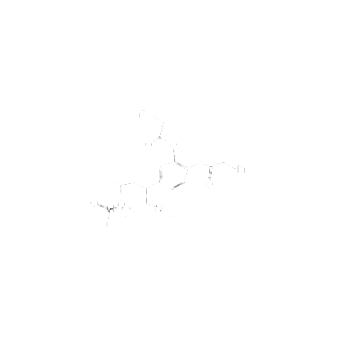 CC(C)CC(=O)Oc1ccc(C(CC(C)OC(=O)C(C)C)[C@H](N)C(=O)O)cc1OC(=O)CC(C)C